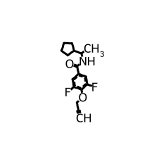 C#CCOc1c(F)cc(C(=O)NC(C)C2CCCC2)cc1F